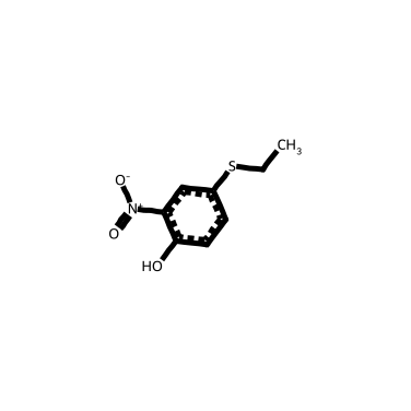 CCSc1ccc(O)c([N+](=O)[O-])c1